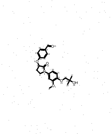 COc1cc(N2CCC(Oc3ccc(C=O)cc3)C2=O)ccc1OCC(C)(C)O